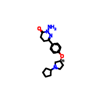 NN1N=C(c2ccc(O[C@@H]3CCN(C4CCCC4)C3)cc2)CCC1=O